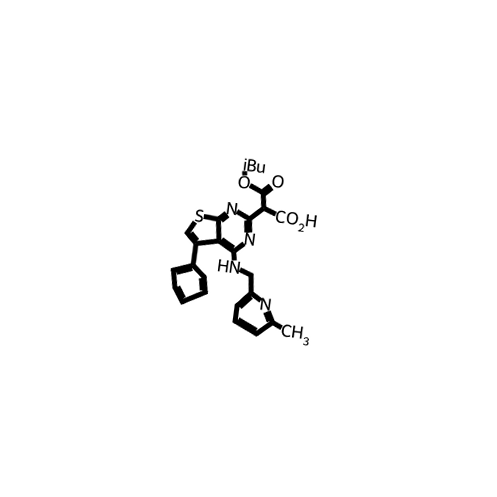 CCC(C)OC(=O)C(C(=O)O)c1nc(NCc2cccc(C)n2)c2c(-c3ccccc3)csc2n1